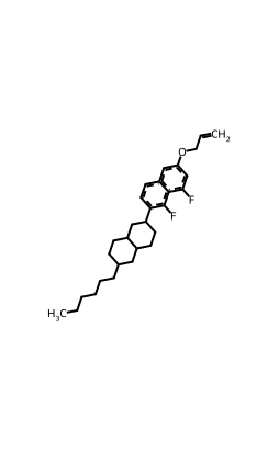 C=CCOc1cc(F)c2c(F)c(C3CCC4CC(CCCCCC)CCC4C3)ccc2c1